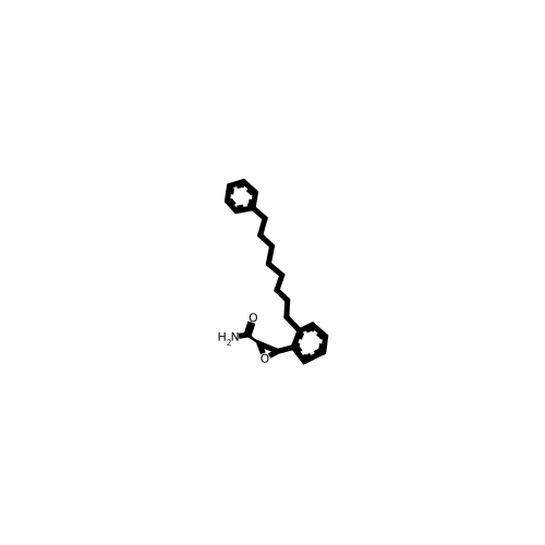 NC(=O)[C@@H]1OC1c1ccccc1CCCCCCCCc1ccccc1